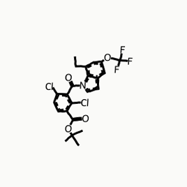 CCc1cc(OC(F)(F)F)cc2ccn(C(=O)c3c(Cl)ccc(C(=O)OC(C)(C)C)c3Cl)c12